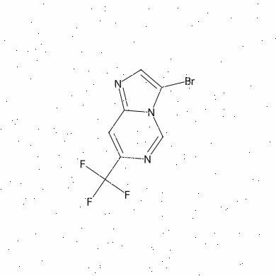 FC(F)(F)c1cc2ncc(Br)n2cn1